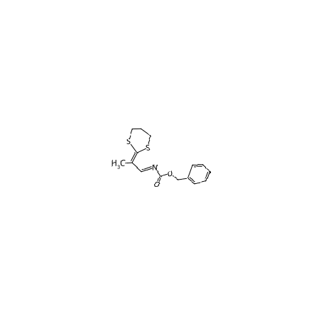 CC(C=NC(=O)OCc1ccccc1)=C1SCCCS1